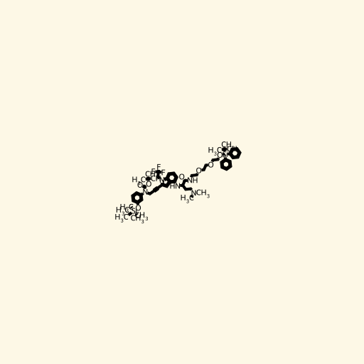 CN(C)CCC(Nc1cccc2c1cc(C#CCN(C(=O)OC(C)(C)C)c1cccc(O[Si](C)(C)C(C)(C)C)c1)n2CC(F)(F)F)C(=O)NCCOCCOCCO[Si](c1ccccc1)(c1ccccc1)C(C)(C)C